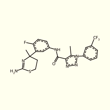 Cc1c(C(=O)Nc2ccc(F)c(C3(C)CCSC(N)=N3)c2)nnn1-c1cccc(C(F)(F)F)c1